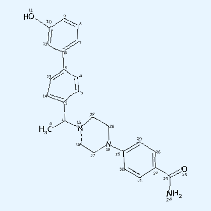 CC(c1ccc(-c2cccc(O)c2)cc1)N1CCN(c2ccc(C(N)=O)cc2)CC1